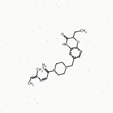 C=C(/C=N\C(C)=C/C)N1CCN(Cc2cnc3c(c2)NC(=O)C(CC)O3)CC1